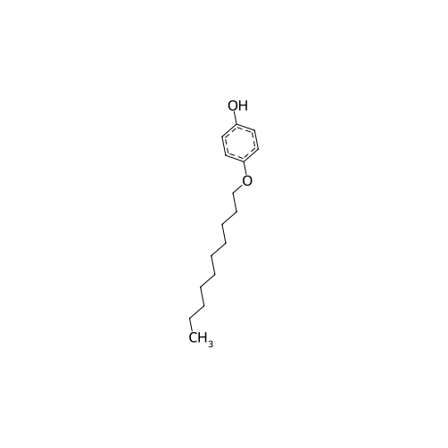 CCCCCCCCCCOc1ccc(O)cc1